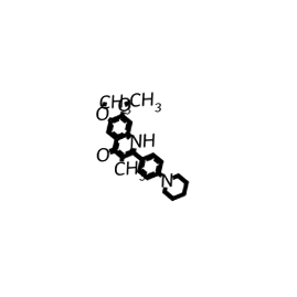 COc1cc2[nH]c(-c3ccc(N4CCCCC4)cc3)c(C)c(=O)c2cc1OC